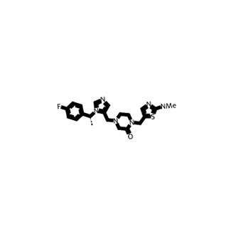 CNc1ncc(CN2CCN(Cc3cncn3[C@H](C)c3ccc(F)cc3)CC2=O)s1